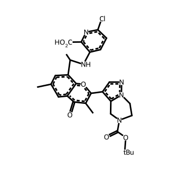 Cc1cc(C(C)Nc2ccc(Cl)nc2C(=O)O)c2oc(-c3cnn4c3CN(C(=O)OC(C)(C)C)CC4)c(C)c(=O)c2c1